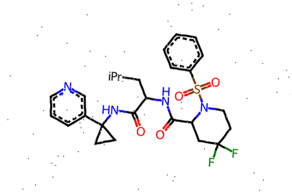 CC(C)CC(NC(=O)C1CC(F)(F)CCN1S(=O)(=O)c1ccccc1)C(=O)NC1(c2cccnc2)CC1